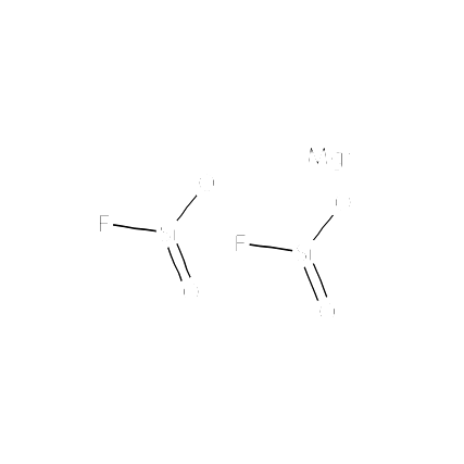 O=[Si]([O-])F.O=[Si]([O-])F.[Mg+2]